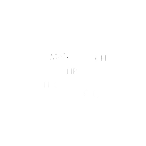 CN[PH](C)(C)C